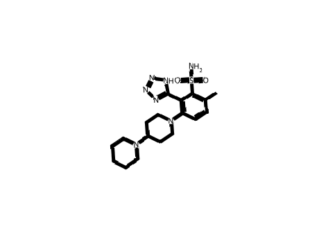 Cc1ccc(N2CCC(N3CCCCC3)CC2)c(-c2nnn[nH]2)c1S(N)(=O)=O